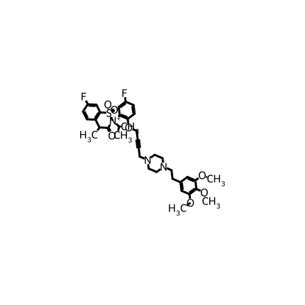 COc1cc(CCN2CCN(CC#CCOc3ccc(F)cc3[N+]3(C(C)C)C(=O)C(C)c4ccc(F)cc4S3(=O)=O)CC2)cc(OC)c1OC